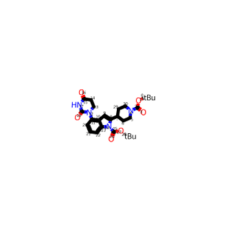 CC(C)(C)OC(=O)N1CCC(c2cc3c(N4CCC(=O)NC4=O)cccc3n2C(=O)OC(C)(C)C)CC1